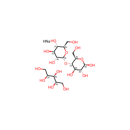 OC[C@@H](O)[C@H](O)[C@@H](O)CO.OC[C@H]1O[C@H](O[C@H]2[C@H](O)[C@@H](O)[C@H](O)O[C@@H]2CO)[C@H](O)[C@@H](O)[C@@H]1O.[NaH]